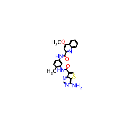 COc1cc(C(=O)Nc2ccc(C)c(NC(=O)c3csc4c(N)ncnc34)c2)nc2ccccc12